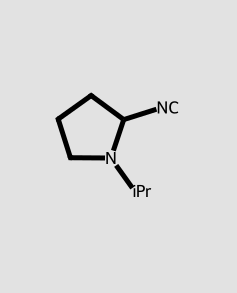 [C-]#[N+]C1CCCN1C(C)C